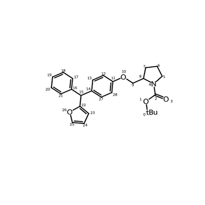 CC(C)(C)OC(=O)N1CCCC1COc1ccc(C(c2ccccc2)c2ccco2)cc1